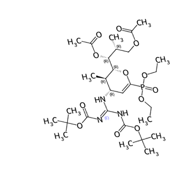 CCOP(=O)(OCC)C1=C[C@H](N/C(=N\C(=O)OC(C)(C)C)NC(=O)OC(C)(C)C)[C@@H](C)[C@H]([C@H](OC(C)=O)[C@H](C)COC(C)=O)O1